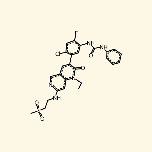 CCn1c(=O)c(-c2cc(NC(=O)Nc3ccccc3)c(F)cc2Cl)cc2cnc(NCCS(C)(=O)=O)cc21